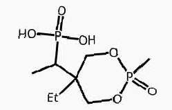 CCC1(C(C)P(=O)(O)O)COP(C)(=O)OC1